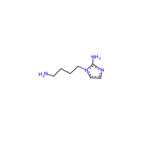 NCCCCn1ccnc1N